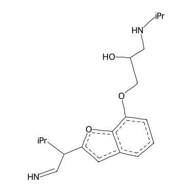 CC(C)NCC(O)COc1cccc2cc(C(C=N)C(C)C)oc12